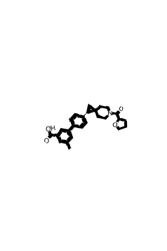 Cc1cc(C(=O)O)cc(-c2ccc([C@@H]3CC34CCN(C(=O)C3CCCO3)CC4)cc2)c1